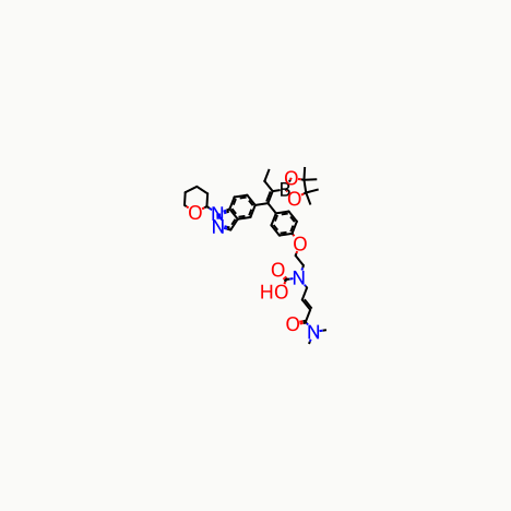 CC/C(B1OC(C)(C)C(C)(C)O1)=C(/c1ccc(OCCN(C/C=C/C(=O)N(C)C)C(=O)O)cc1)c1ccc2c(cnn2C2CCCCO2)c1